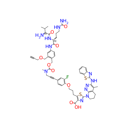 C#CCOCc1cc(NC(=O)[C@H](CCCNC(N)=O)NC(=O)[C@@H](N)C(C)C)ccc1COC(=O)N(C)CC#Cc1ccc(OCCCc2sc(N3CCCc4c3nnc(Nc3nc5ccccc5s3)c4C)nc2C(=O)O)c(F)c1